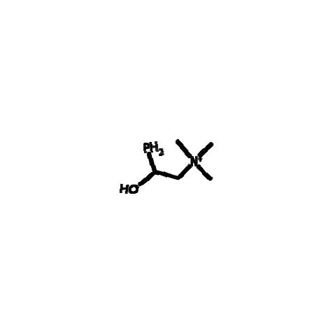 C[N+](C)(C)CC(O)P